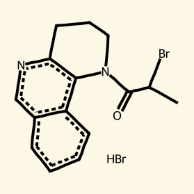 Br.CC(Br)C(=O)N1CCCc2ncc3ccccc3c21